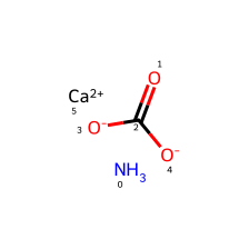 N.O=C([O-])[O-].[Ca+2]